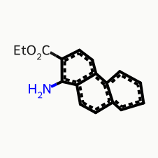 CCOC(=O)c1ccc2c(ccc3ccccc32)c1N